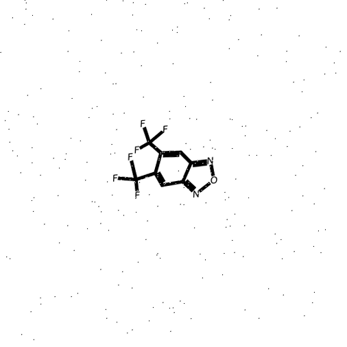 FC(F)(F)c1cc2nonc2cc1C(F)(F)F